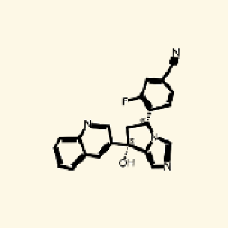 N#Cc1ccc([C@H]2C[C@](O)(c3cnc4ccccc4c3)c3cncn32)c(F)c1